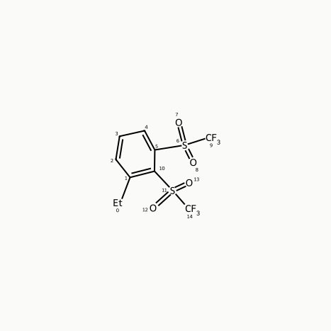 CCc1cccc(S(=O)(=O)C(F)(F)F)c1S(=O)(=O)C(F)(F)F